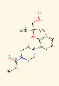 CCOCC(C)(C=O)Oc1ccccc1N1CCN(C(=O)OC(C)(C)C)CC1